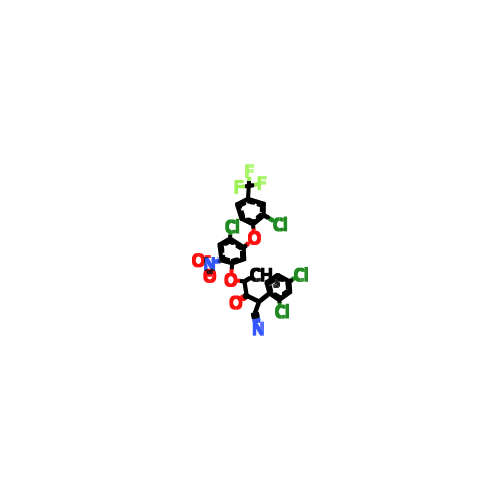 CC(Oc1cc(Oc2ccc(C(F)(F)F)cc2Cl)c(Cl)cc1[N+](=O)[O-])C(=O)C(C#N)c1ccc(Cl)cc1Cl